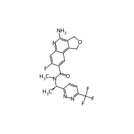 C[C@H](c1ccc(C(F)(F)F)nn1)N(C)C(=O)c1cc2c3c(c(N)nc2cc1F)COC3